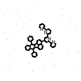 c1ccc(-c2c3c(c(-c4ccccc4)c4ccccc24)-c2ccc(-c4cc(-c5ccccn5)nc(-c5cccc(-c6ccccn6)n5)c4)c4cccc-3c24)cc1